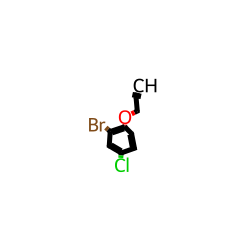 C#CCOc1ccc(Cl)cc1Br